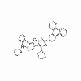 c1ccc(-c2nc(-c3ccc4c5ccccc5c5ccccc5c4c3)nc3oc4c(ccc5c4c4ccccc4n5-c4ccccc4)c23)cc1